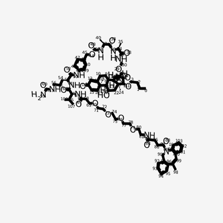 CCCC1O[C@@H]2C[C@H]3[C@@H]4CCC5=CC(=O)C=C[C@]5(C)[C@H]4[C@@H](O)C[C@]3(C)[C@]2(C(=O)COCNC(=O)[C@H](C)NC(=O)[C@H](C)NC(=O)OCc2ccc(NC(=O)[C@H](CCCNC(N)=O)NC(=O)[C@@H](NC(=O)CCOCCOCCOCCOCCNC(=O)CCC(=O)N3Cc4ccccc4/C(C)=C\c4ccccc43)C(C)C)cc2)O1